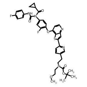 COCCN(CCc1ccc(-c2cc3nccc(Oc4ccc(N(C(=O)Nc5ccc(F)cc5)C(=O)C5CC5)cc4F)c3s2)nc1)C(=O)OC(C)(C)C